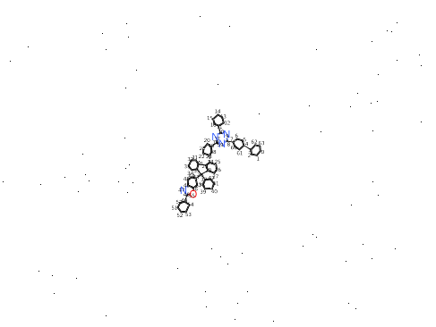 c1ccc(-c2ccc(-c3nc(-c4ccccc4)nc(-c4cccc(-c5cccc6c5-c5ccccc5C6(c5ccccc5)c5ccc6nc(-c7ccccc7)oc6c5)c4)n3)cc2)cc1